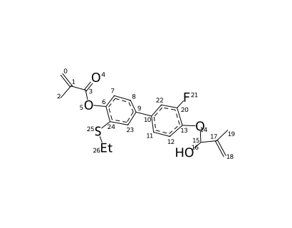 C=C(C)C(=O)Oc1ccc(-c2ccc(OC(O)C(=C)C)c(F)c2)cc1SCC